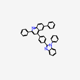 c1ccc(-c2ccc3nc(-c4ccccc4)cc(-c4ccc(-c5nc6ccccc6n5-c5ccccc5)cc4)c3c2)cc1